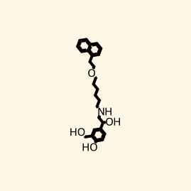 OCc1cc(C(O)CNCCCCCCOCCc2cccc3ccccc23)ccc1O